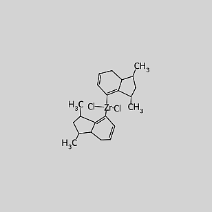 CC1CC(C)C2CC=C[C]([Zr]([Cl])([Cl])[C]3=C4C(C)CC(C)C4CC=C3)=C12